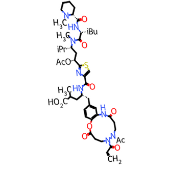 C=CC(=O)N1CCC(=O)Oc2ccc(C[C@H](CC(C)C(=O)O)NC(=O)c3csc([C@@H](C[C@H](C(C)C)N(C)C(=O)[C@@H](NC(=O)[C@H]4CCCCN4C)[C@@H](C)CC)OC(C)=O)n3)cc2NC(=O)CCN1C(C)=O